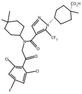 CC1(C)CCC(N(CC(=O)c2c(Cl)cc(F)cc2Cl)C(=O)c2cnn([C@H]3CC[C@@](C)(C(=O)O)CC3)c2C(F)(F)F)CC1